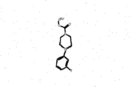 CC(C)(C)OC(=O)N1CCN(c2cccc(F)c2)CC1